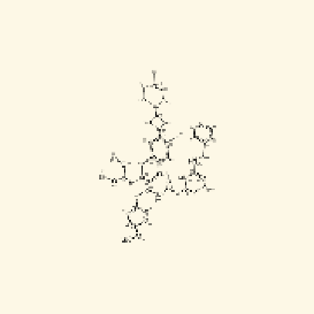 C=CCN(CC(=O)N[C@@H](Cc1ccc(OC(C)(C)C)cc1)C(=O)N(Cc1ccc(F)c(N2CC(N3CCN(C)CC3)C2)n1)CC(OCC)OCC)NC(=O)NCc1ccccc1